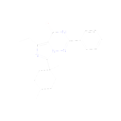 CCc1nc(C2(C)CCC(C)CC2)n2nc(-c3ccccc3)[nH]c(=O)c12